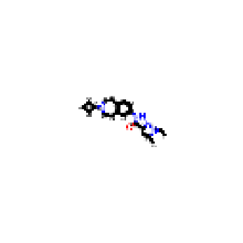 CCn1nc(C(=O)Nc2ccc3c(c2)CCN(C2CCC2)CC3)cc1C